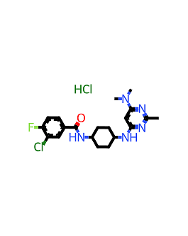 Cc1nc(NC2CCC(NC(=O)c3ccc(F)c(Cl)c3)CC2)cc(N(C)C)n1.Cl